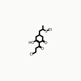 CCSC(C)CC1CC(=O)C(C(=O)CCCl)=C(O)C1